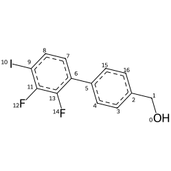 OCc1ccc(-c2ccc(I)c(F)c2F)cc1